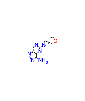 Nc1ncnc2cnc(N3CC4(CCOC4)C3)nc12